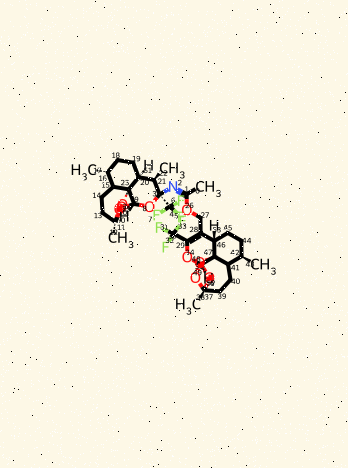 C/C(=N/[C@@]1(C(F)(F)F)O[C@@H]2O[C@]3(C)CCC4[C@H](C)CC[C@@H]([C@H]1C)[C@]42OO3)OCC1=C(C(F)(F)F)O[C@@H]2O[C@]3(C)CCC4[C@H](C)CC[C@@H]1[C@]42OO3